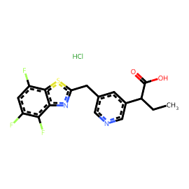 CCC(C(=O)O)c1cncc(Cc2nc3c(F)c(F)cc(F)c3s2)c1.Cl